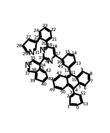 c1ccc(-c2c3ccccc3c(-c3cccc(-c4cc(-c5ccccc5-c5cccnc5)nc(-c5cncc6ccccc56)n4)c3)c3ccccc23)cc1